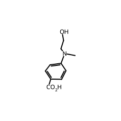 CN(CCO)c1ccc(C(=O)O)cc1